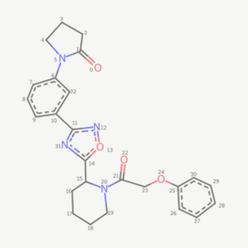 O=C1CCCN1c1cccc(-c2noc(C3CCCCN3C(=O)COc3ccccc3)n2)c1